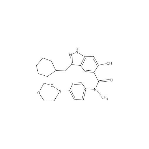 CN(C(=O)c1cc2c(CC3CCCCC3)n[nH]c2cc1O)c1ccc(N2CCOCC2)cc1